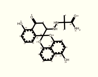 CC(C)(NNC1CC(=O)c2c(O)cccc2C12Oc1cccc3c(O)ccc(c13)O2)C(N)=O